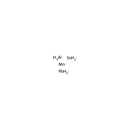 [AlH3].[Mn].[PbH2].[SnH2]